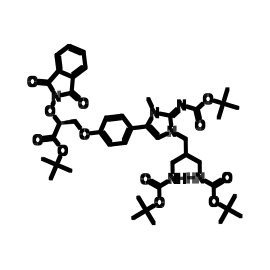 Cn1c(-c2ccc(OC[C@H](ON3C(=O)c4ccccc4C3=O)C(=O)OC(C)(C)C)cc2)cn(CC(CNC(=O)OC(C)(C)C)CNC(=O)OC(C)(C)C)c1=NC(=O)OC(C)(C)C